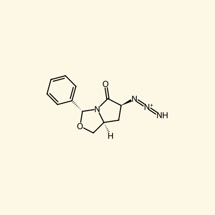 N=[N+]=N[C@H]1C[C@H]2CO[C@H](c3ccccc3)N2C1=O